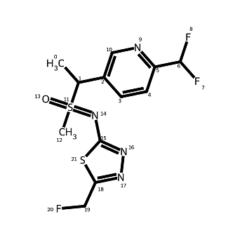 CC(c1ccc(C(F)F)nc1)S(C)(=O)=Nc1nnc(CF)s1